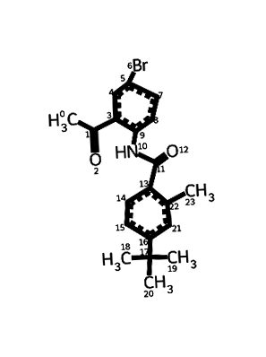 CC(=O)c1cc(Br)ccc1NC(=O)c1ccc(C(C)(C)C)cc1C